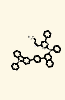 C=C/C=C\c1cc(-c2ccccc2)nc(N(c2ccccc2)c2cc(-c3ccc(-c4ccc5c(c4)c4ccccc4n5-c4ccccc4)cc3)c3ccccc3c2)n1